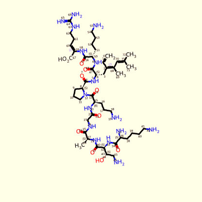 C=C/C(C[C@H](NC(=O)[C@@H]1CCCN1C(=O)[C@@H](CCCN)NC(=O)CNC(=O)[C@H](C)NC(=O)[C@@H](NC(=O)[C@@H](N)CCCCN)[C@@H](O)CN)C(=O)N[C@@H](CCCCN)C(=O)N/C(=C\CCNC(=N)N)C(=O)O)=C(/C)C=C(C)C